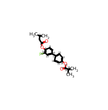 C=C(C)CC(=O)Oc1ccc(-c2ccc(OC(=O)C(=C)C)cc2)cc1F